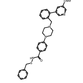 COc1cncc(-c2ccccc2CN2CCN(c3ccc(C(=O)NSCc4ccccc4)cc3)CC2)c1